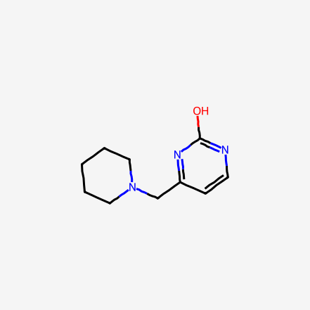 Oc1nccc(CN2CCCCC2)n1